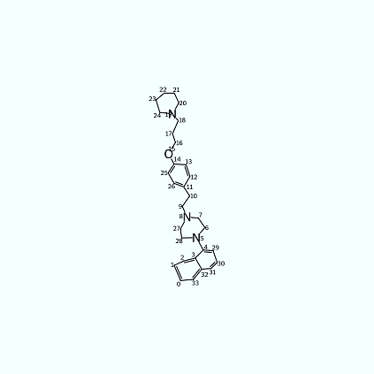 c1ccc2c(N3CCN(CCc4ccc(OCCCN5CCCCC5)cc4)CC3)cccc2c1